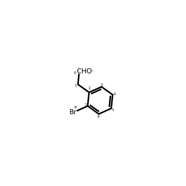 O=[C]Cc1ccccc1Br